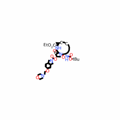 CCOC(=O)[C@@]12CC1CCCCCCC[C@H](NC(=O)OC(C)(C)C)C(=O)N1C[C@H](OC(=O)N3Cc4ccc(OCCN5CCOCC5)cc4C3)C[C@H]1C(=O)N2